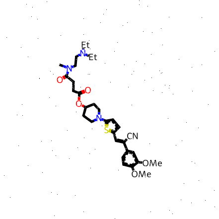 CCN(CC)CCN(C)C(=O)CCC(=O)OC1CCN(c2ccc(/C=C(\C#N)c3ccc(OC)c(OC)c3)s2)CC1